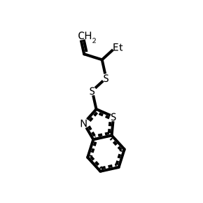 C=CC(CC)SSc1nc2ccccc2s1